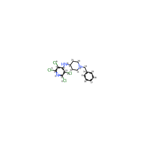 Clc1nc(Cl)c(Cl)c(NC2CCN(Cc3ccccc3)CC2)c1Cl